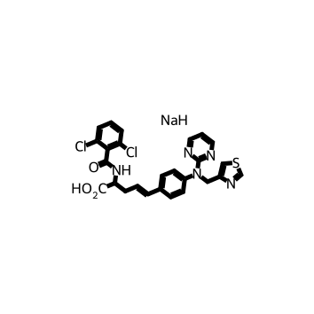 O=C(NC(C/C=C/c1ccc(N(Cc2cscn2)c2ncccn2)cc1)C(=O)O)c1c(Cl)cccc1Cl.[NaH]